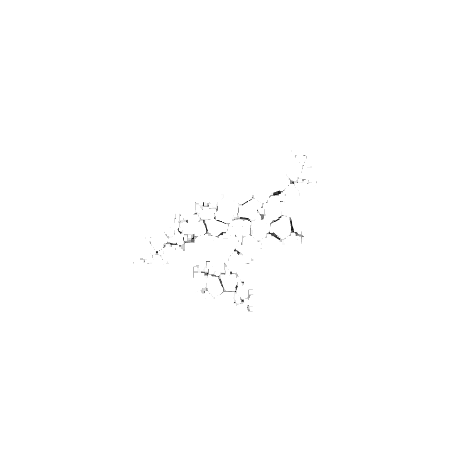 C[C@@H]1Cc2c(C(F)(F)F)nn(CC(=O)NC(Cc3cc(F)cc(F)c3)c3nc(C#CC(C)(C)[S+]([O-])C4CC4)ccc3-c3ccc(Cl)c4c(Nc5nnc(C(C)(C)O)o5)nn(C)c34)c2C1(F)F